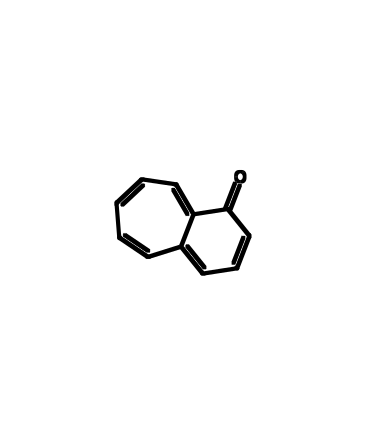 O=c1cccc2cccccc1-2